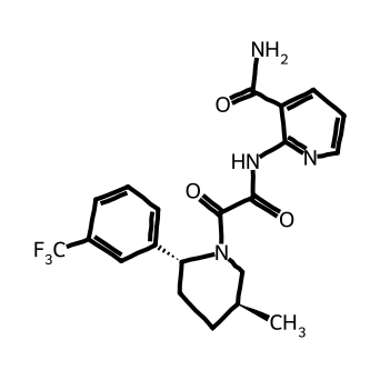 C[C@H]1CC[C@H](c2cccc(C(F)(F)F)c2)N(C(=O)C(=O)Nc2ncccc2C(N)=O)C1